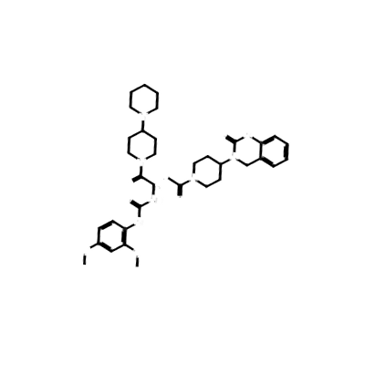 COc1ccc(NC(=O)N[C@@H](CC(=O)N2CCC(N3Cc4ccccc4NC3=O)CC2)C(=O)N2CCC(N3CCCCC3)CC2)c(OC)c1